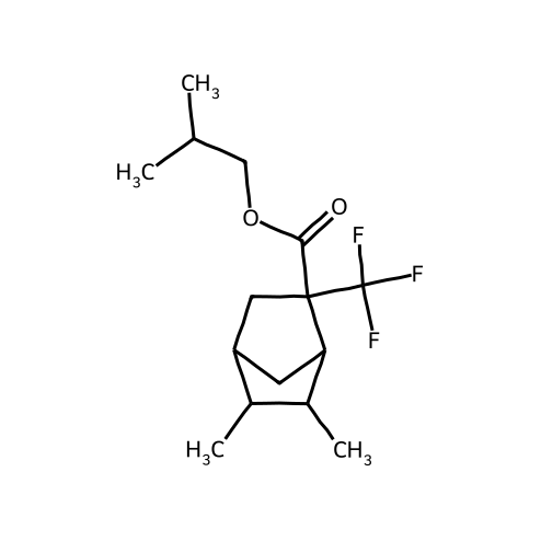 CC(C)COC(=O)C1(C(F)(F)F)CC2CC1C(C)C2C